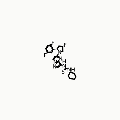 Fc1ccc(F)c([C@H]2C[C@H](F)CN2c2ccn3ncc(NC(=S)NC4CCCCC4)c3n2)c1